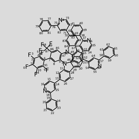 Fc1c(F)c(F)c(-c2cc(-n3c4cc(-c5ccnc(-c6ccccc6)c5)ccc4c4ccc(-c5ccnc(-c6ccccc6)c5)cc43)c(-n3c4ccc(-c5ccnc(-c6ccccc6)c5)cc4c4ccc(-c5ccnc(-c6ccccc6)c5)cc43)cc2C(F)(F)F)c(F)c1F